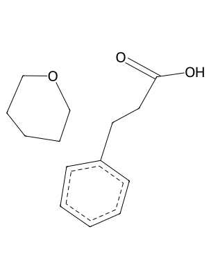 C1CCOCC1.O=C(O)CCc1ccccc1